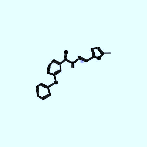 Cc1ccc(/C=N/NC(=O)c2cccc(Oc3ccccc3)c2)o1